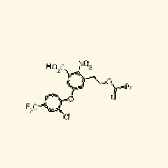 CC(C)C(=O)OCCc1cc(Oc2ccc(C(F)(F)F)cc2Cl)cc(C(=O)O)c1[N+](=O)[O-]